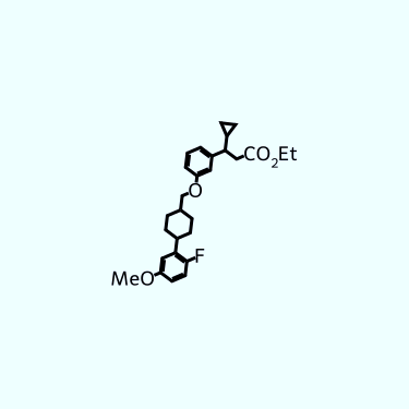 CCOC(=O)CC(c1cccc(OCC2CCC(c3cc(OC)ccc3F)CC2)c1)C1CC1